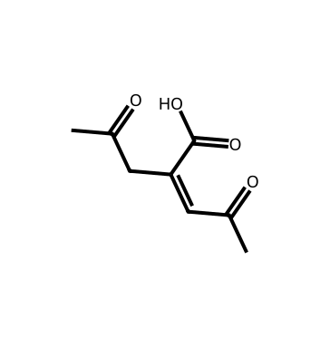 CC(=O)/C=C(/CC(C)=O)C(=O)O